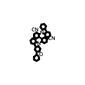 N#Cc1ccc(-n2c3ccccc3c3cc4c(cc32)oc2ccccc24)c(-c2cccc(C#N)c2-n2c3ccccc3c3ccccc32)c1